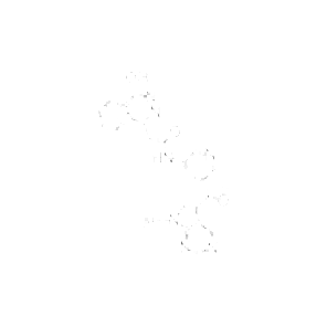 CC(C)n1cc(C(=O)c2cncc(NC(=O)Cc3nnc(O)c4ccccc34)c2)c2cncnc21